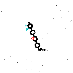 CCCCCC1CCC(C2CCC(C3CCC(c4ccc(C)c(F)c4F)CC3)OC2)CC1